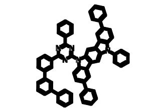 c1ccc(-c2cccc(-c3cccc(-c4nc(-c5ccccc5)nc(-n5c6ccc(-c7ccccc7)cc6c6cc7c(cc65)c5cc(-c6ccccc6)ccc5n7-c5ccccc5)n4)c3)c2)cc1